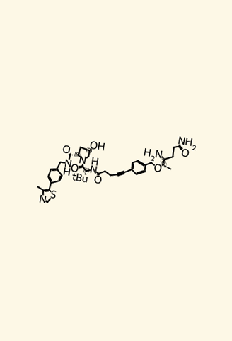 Cc1ncsc1-c1ccc(CNC(=O)[C@@H]2C[C@@H](O)CN2C(=O)[C@@H](NC(=O)CCC#Cc2ccc(CO[C@H](C)[C@@H](N)CCC(N)=O)cc2)C(C)(C)C)cc1